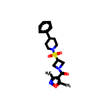 Cc1noc(C)c1C(=O)N1CC(S(=O)(=O)N2CCC(c3ccccc3)CC2)C1